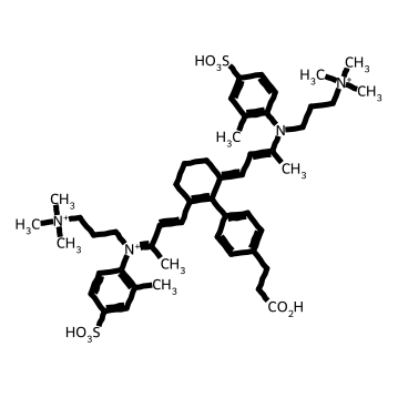 C/C(=C\C=C1/CCCC(/C=C/C(C)=[N+](\CCC[N+](C)(C)C)c2ccc(S(=O)(=O)O)cc2C)=C1c1ccc(CCC(=O)O)cc1)N(CCC[N+](C)(C)C)c1ccc(S(=O)(=O)O)cc1C